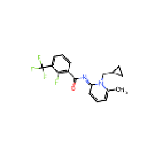 Cc1ccc/c(=N\C(=O)c2cccc(C(F)(F)F)c2F)n1CC1CC1